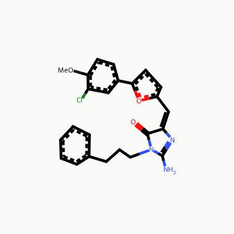 COc1ccc(-c2ccc(C=C3N=C(N)N(CCCc4ccccc4)C3=O)o2)cc1Cl